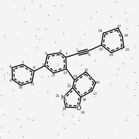 C(#Cc1ccc(-c2ccccc2)cc1-c1cccc2ocnc12)c1ccccc1